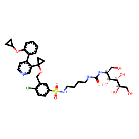 O=C(NCCCCNS(=O)(=O)c1ccc(Cl)c(COC2(c3cnccc3-c3ccccc3OC3CC3)CC2)c1)N[C@@H](CO)[C@@H](O)[C@H](O)[C@H](O)CO